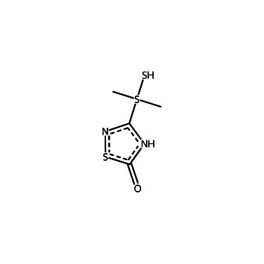 CS(C)(S)c1nsc(=O)[nH]1